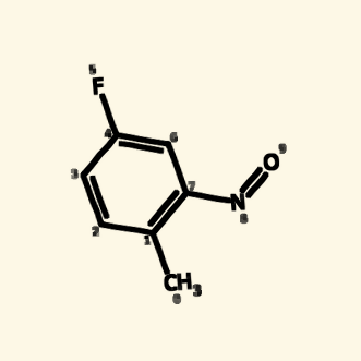 Cc1ccc(F)cc1N=O